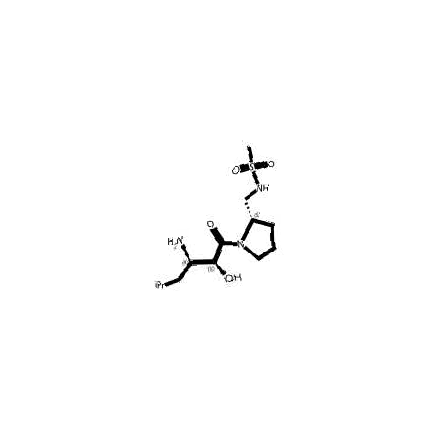 CC(C)C[C@@H](N)[C@H](O)C(=O)N1CCC[C@H]1CNS(C)(=O)=O